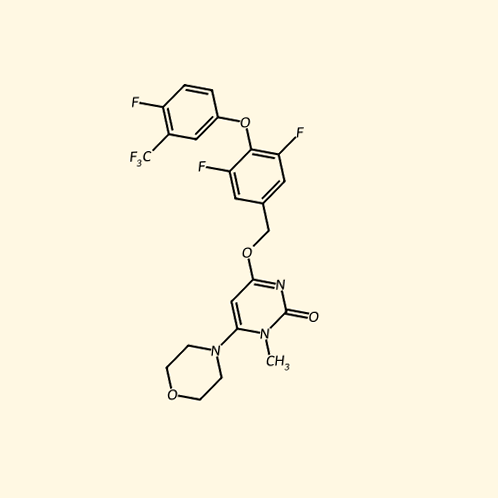 Cn1c(N2CCOCC2)cc(OCc2cc(F)c(Oc3ccc(F)c(C(F)(F)F)c3)c(F)c2)nc1=O